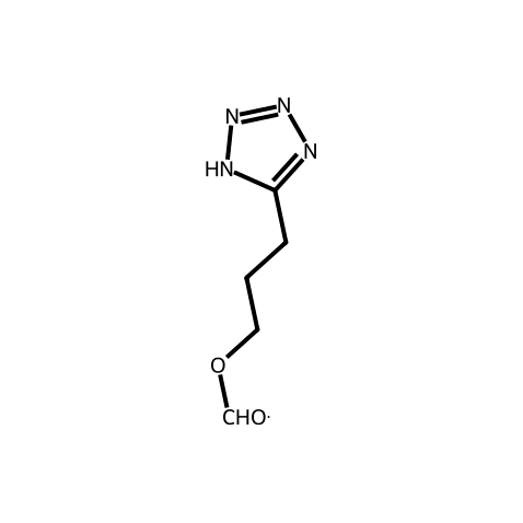 O=[C]OCCCc1nnn[nH]1